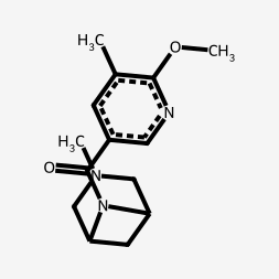 COc1ncc(C(=O)N2C3CC2CN(C)C3)cc1C